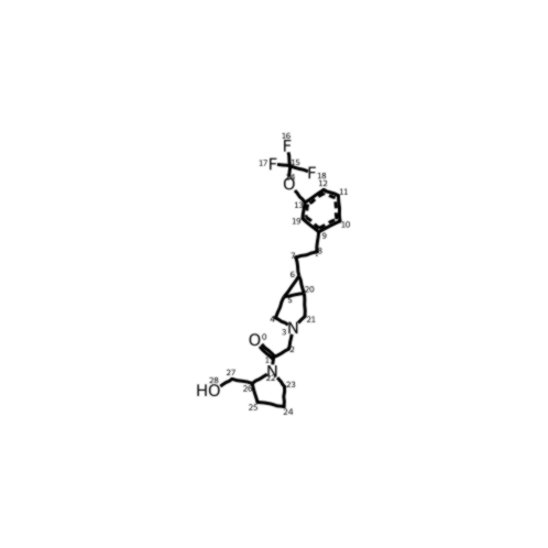 O=C(CN1CC2C(C[CH]c3cccc(OC(F)(F)F)c3)C2C1)N1CCCC1CO